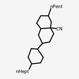 CCCCCCCC1CCC(C2CCC3(C#N)CC(CCCCC)CCC3C2)CC1